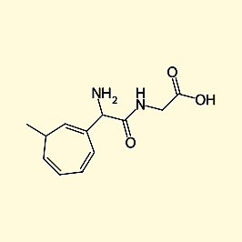 CC1C=CC=CC(C(N)C(=O)NCC(=O)O)=C1